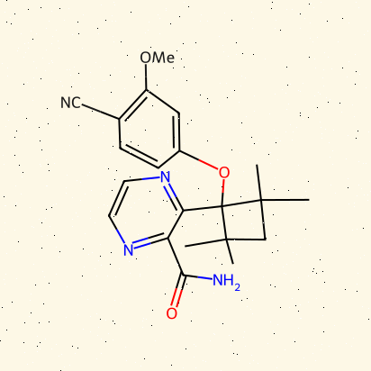 COc1cc(OC2(c3nccnc3C(N)=O)C(C)(C)CC2(C)C)ccc1C#N